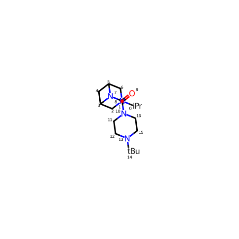 CC(C)N1CC2CC(C1)N2C(=O)N1CCN(C(C)(C)C)CC1